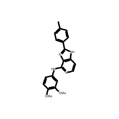 COc1ccc(Nc2nccc3[nH]c(-c4ccc(C)cc4)nc23)cc1OC